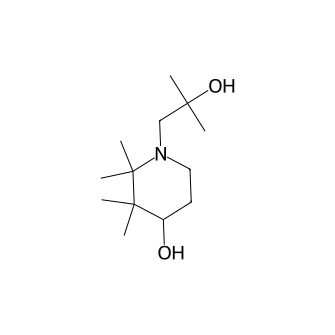 CC(C)(O)CN1CCC(O)C(C)(C)C1(C)C